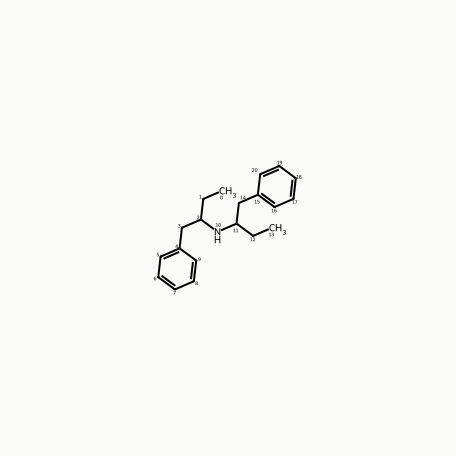 CCC(Cc1ccccc1)NC(CC)Cc1ccccc1